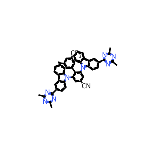 Cc1cc(-c2c(-n3c4ccccc4c4cc(-c5nc(C)nc(C)n5)ccc43)cc(C#N)cc2-n2c3ccccc3c3cc(-c4nc(C)nc(C)n4)ccc32)cc(C(F)(F)F)c1